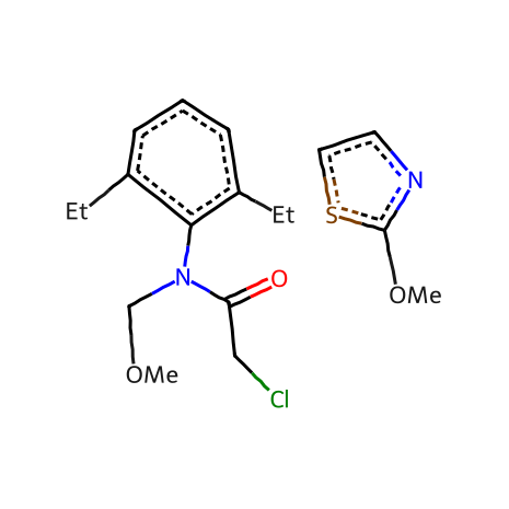 CCc1cccc(CC)c1N(COC)C(=O)CCl.COc1nccs1